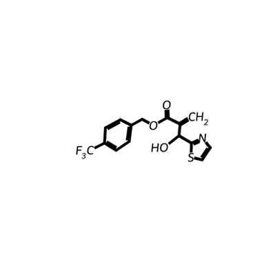 C=C(C(=O)OCc1ccc(C(F)(F)F)cc1)C(O)c1nccs1